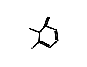 C=C1C=CC=C(F)C1C